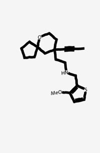 CC#CC1(CCNCc2sccc2OC)CCOC2(CCCC2)C1